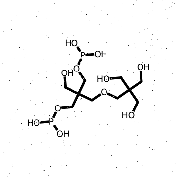 OCC(CO)(CO)COCC(CO)(COP(O)O)COP(O)O